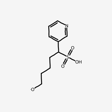 [O]CCCCC(c1cccnc1)S(=O)(=O)O